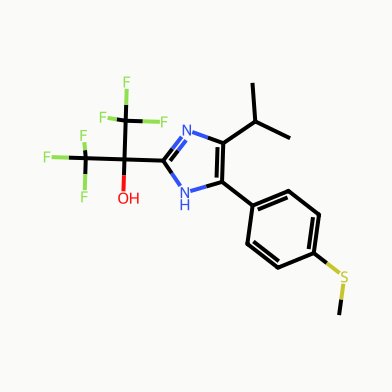 CSc1ccc(-c2[nH]c(C(O)(C(F)(F)F)C(F)(F)F)nc2C(C)C)cc1